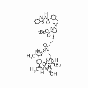 Cc1ncsc1-c1ccc([C@H](C)NC(=O)[C@@H]2C[C@@H](O)CN2C(=O)[C@@H](NC(=O)CCCN(C)C(=O)CCCC#Cc2ccc(N3CCc4cccc(C(=O)Nc5nc6ccccc6s5)c4C3)nc2C(=O)OC(C)(C)C)C(C)(C)C)cc1